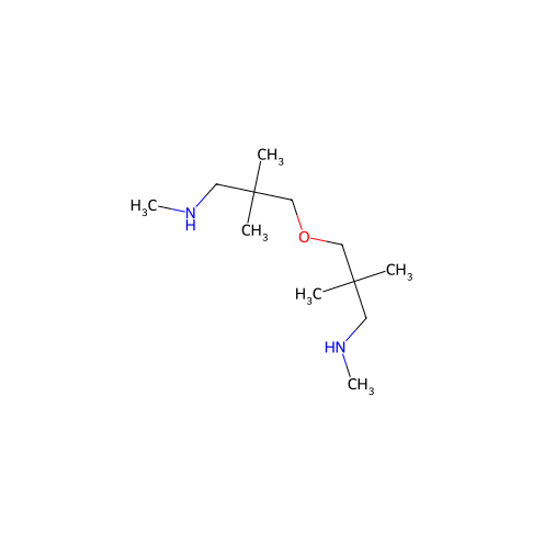 CNCC(C)(C)COCC(C)(C)CNC